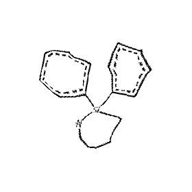 c1ccc([Si]2(c3ccccc3)CCC[N]2)cc1